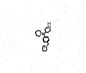 c1cc(C(C2CCNCC2)N2CCCCC2)ccc1CN1CCCCC1